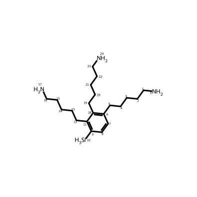 NCCCCCc1ccc([SiH3])c(CCCCCN)c1CCCCCN